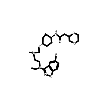 CCN(CCN(C)CC[C@H]1CC[C@H](NC(=O)CC2COCCO2)CC1)c1noc2ccc(F)cc12